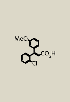 COc1cccc(/C(=C\C(=O)O)c2ccccc2Cl)c1